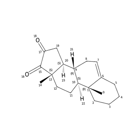 C[C@]12CCCCC1=CC[C@@H]1[C@@H]2CC[C@]2(C)C(=O)C(=O)C[C@@H]12